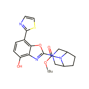 CC(C)(C)OC(=O)N1C2CCC1CN(c1nc3c(O)ccc(-c4nccs4)c3o1)C2